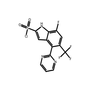 O=S(=O)(Cl)c1cc2c(-c3ncccn3)c(C(F)(F)F)cc(F)c2[nH]1